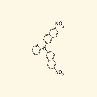 O=[N+]([O-])c1ccc2cc(N(c3[c]cccc3)c3ccc4cc([N+](=O)[O-])ccc4c3)ccc2c1